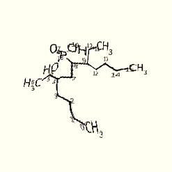 CCCCC(CC)CC(C(CC)CCCC)P(=O)(O)O